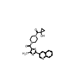 Cc1nc(-c2cnc3ccccc3c2)sc1C(=O)N1CCN(C(=O)C2(O)CC2)CC1